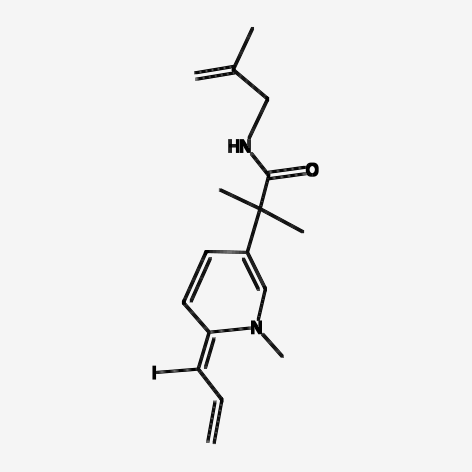 C=C/C(I)=C1/C=CC(C(C)(C)C(=O)NCC(=C)C)=CN1C